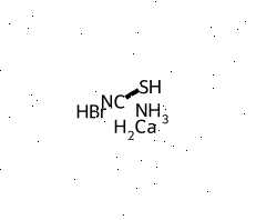 Br.N.N#CS.[CaH2]